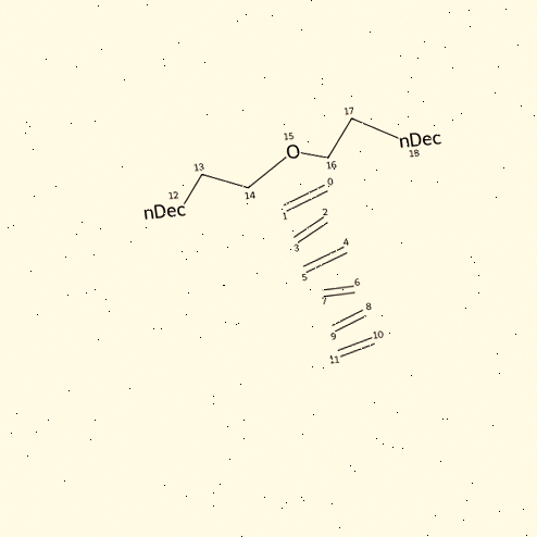 C=C.C=C.C=C.C=C.C=C.C=C.CCCCCCCCCCCCOCCCCCCCCCCCC